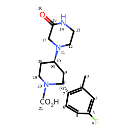 Cc1cc(F)ccc1[C@H]1C[C@H](N2CCNC(=O)C2)CCN1C(=O)O